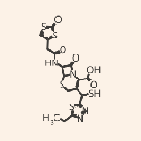 CCc1nnc(C(S)C2=C(C(=O)O)N3C(=O)C(NC(=O)Cc4csc(=O)s4)C3SC2)s1